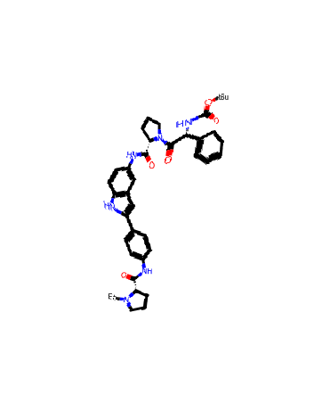 CCN1CCC[C@H]1C(=O)Nc1ccc(-c2cc3cc(NC(=O)[C@@H]4CCCN4C(=O)[C@H](NC(=O)OC(C)(C)C)c4ccccc4)ccc3[nH]2)cc1